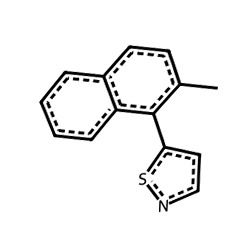 Cc1ccc2ccccc2c1-c1ccns1